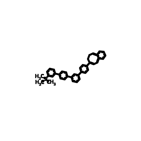 C[Si](C)(C)c1cccc(-c2ccc(-c3cccc(-c4ccc(/C5=C/C=c6/cccc/c6=C/CC5)cc4)c3)cc2)c1